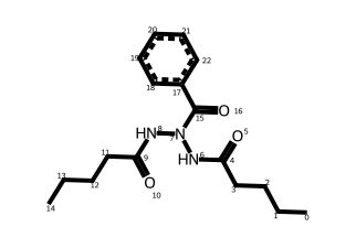 CCCCC(=O)NN(NC(=O)CCCC)C(=O)c1ccccc1